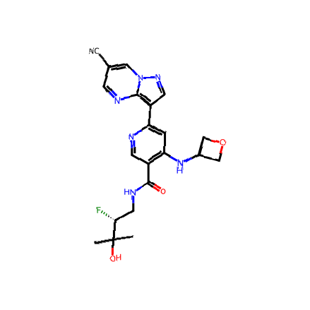 CC(C)(O)[C@H](F)CNC(=O)c1cnc(-c2cnn3cc(C#N)cnc23)cc1NC1COC1